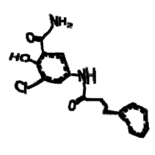 NC(=O)c1cc(NC(=O)CCc2ccccc2)cc(Cl)c1O